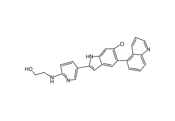 OCCNc1ccc(-c2cc3cc(-c4cccc5ncccc45)c(Cl)cc3[nH]2)cn1